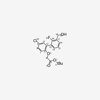 CC(C)(C)OC(=O)COc1ccc(Cl)cc1-c1cccc(CO)c1F